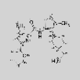 Cn1ncc(NC(=O)c2nc(C3CCCCO3)sc2N)c1N1CCC(CN)CC1